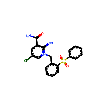 N=c1c(C(N)=O)cc(Cl)cn1Cc1ccccc1S(=O)(=O)c1ccccc1